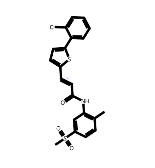 Cc1ccc(S(C)(=O)=O)cc1NC(=O)/C=C/c1ccc(-c2ccccc2Cl)s1